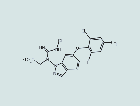 CCOC(=O)CN(C(=N)NCl)n1ncc2ccc(Oc3c(F)cc(C(F)(F)F)cc3Cl)cc21